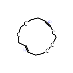 C1=C\CCCCCC/C=C/CCCCCC/1